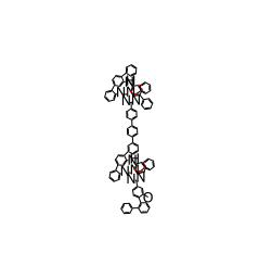 c1ccc(-c2ccc(-n3c4ccccc4c4ccc5c6ccccc6n(C6=NC(c7ccc(-c8ccc(-c9ccc%10c(c9)c9ccc%11c%12ccccc%12n(C%12=NC(c%13ccc%14c(c%13)oc%13cccc(-c%15ccccc%15)c%13%14)=NC(c%13ccccc%13)N%12)c%11c9n%10-c9ccccc9)cc8)cc7)=NC(c7ccccc7)N6)c5c43)cc2)cc1